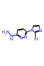 CCc1nccn1-c1ccc(NN)nn1